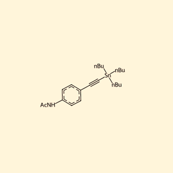 CCC[CH2][Sn]([C]#Cc1ccc(NC(C)=O)cc1)([CH2]CCC)[CH2]CCC